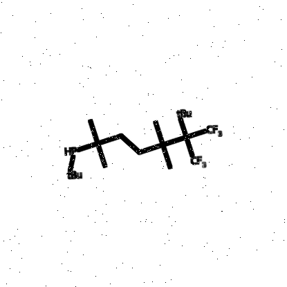 CC(C)(C)PC(C)(C)CCC(C)(C)C(C(C)(C)C)(C(F)(F)F)C(F)(F)F